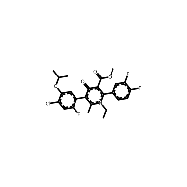 CCn1c(C)c(-c2cc(OC(C)C)c(Cl)cc2F)c(=O)c(C(=O)OC)c1-c1ccc(F)c(F)c1